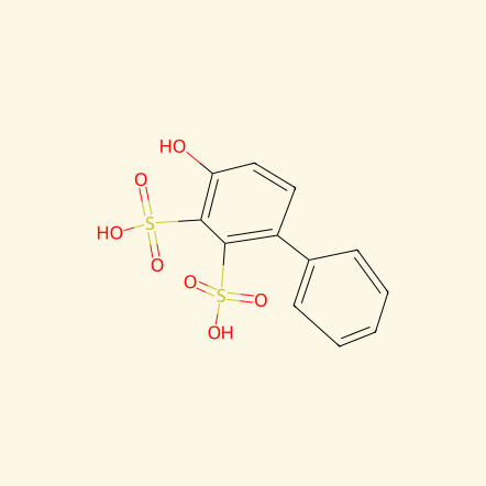 O=S(=O)(O)c1c(O)ccc(-c2ccccc2)c1S(=O)(=O)O